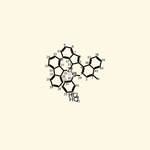 Cc1ccc(C2=Cc3ccccc3[CH]2/[Zr]([CH]2c3ccccc3-c3ccccc32)=[Si](\C)c2ccccc2)c2ccccc12.Cl.Cl